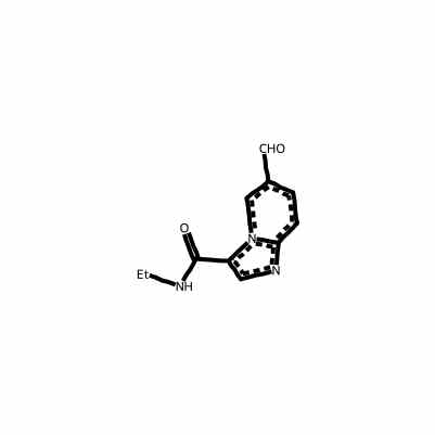 CCNC(=O)c1cnc2ccc(C=O)cn12